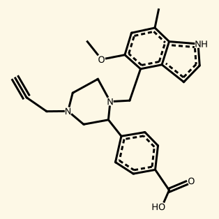 C#CCN1CCN(Cc2c(OC)cc(C)c3[nH]ccc23)C(c2ccc(C(=O)O)cc2)C1